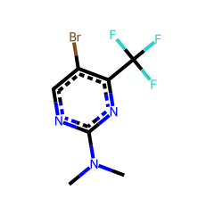 CN(C)c1ncc(Br)c(C(F)(F)F)n1